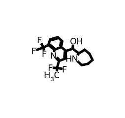 CC(F)(F)c1cc(C(O)C2CCCCCN2)c2cccc(C(F)(F)F)c2n1